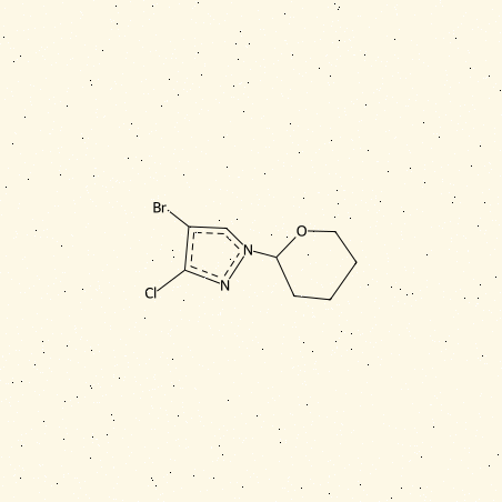 Clc1nn(C2CCCCO2)cc1Br